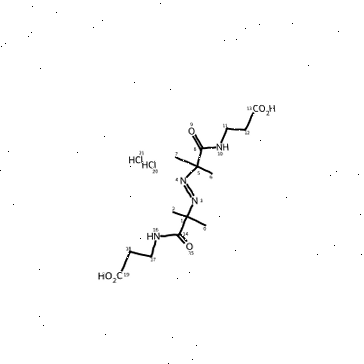 CC(C)(N=NC(C)(C)C(=O)NCCC(=O)O)C(=O)NCCC(=O)O.Cl.Cl